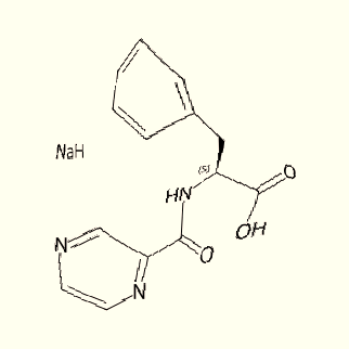 O=C(N[C@@H](Cc1ccccc1)C(=O)O)c1cnccn1.[NaH]